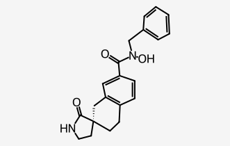 O=C(c1ccc2c(c1)C[C@@]1(CCNC1=O)CC2)N(O)Cc1ccccc1